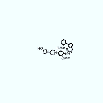 COc1cc(N2CCC(N3CCC(O)C3)CC2)ccc1Nc1ncc2ccc(-c3ccccc3OC)n2n1